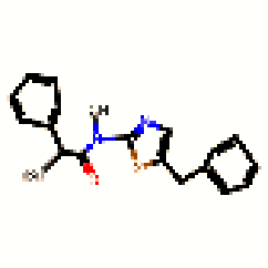 CCC(C)C(C(=O)N(C#N)c1ncc(Cc2ccccc2)s1)c1ccccc1